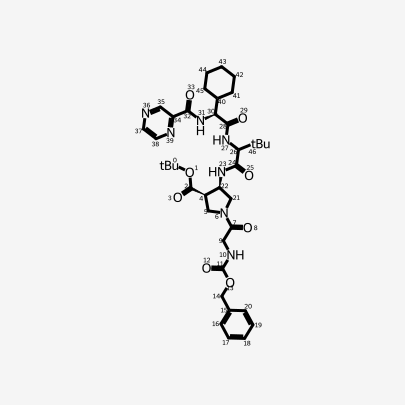 CC(C)(C)OC(=O)[C@@H]1CN(C(=O)CNC(=O)OCc2ccccc2)C[C@@H]1NC(=O)C(NC(=O)[C@@H](NC(=O)c1cnccn1)C1CCCCC1)C(C)(C)C